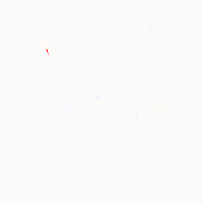 CN(C(=O)C(C)(C)c1cc(C(F)(F)F)cc(C(F)(F)F)c1)c1cnc(N[C@H]2CC[C@H](O)CC2)cc1-c1ccccc1Cl